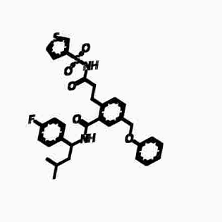 CC(C)CC(NC(=O)c1cc(COc2ccccc2)ccc1CCC(=O)NS(=O)(=O)c1ccsc1)c1ccc(F)cc1